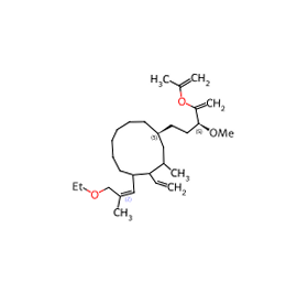 C=CC1C(C)C[C@H](CC[C@H](OC)C(=C)OC(=C)C)CCCCCCC1/C=C(/C)COCC